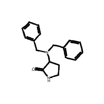 O=C1NCCC1N(Cc1ccccc1)Cc1ccccc1